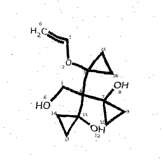 C=COC1(C(CO)(C2(O)CC2)C2(O)CC2)CC1